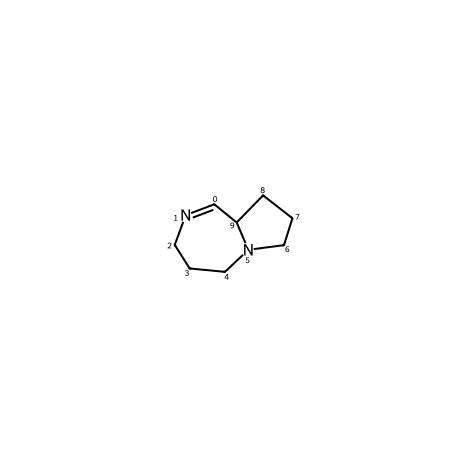 C1=NCCCN2CCCC12